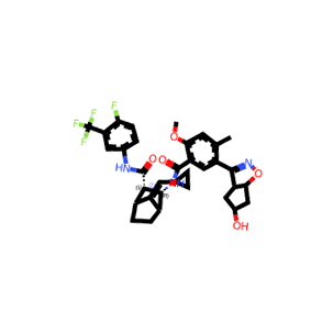 COc1cc(C)c(C2=NOC3CC(O)CC23)cc1C(=O)N[C@@H]1C2CCC(/C2=C/C2CC2)[C@@H]1C(=O)Nc1ccc(F)c(C(F)(F)F)c1